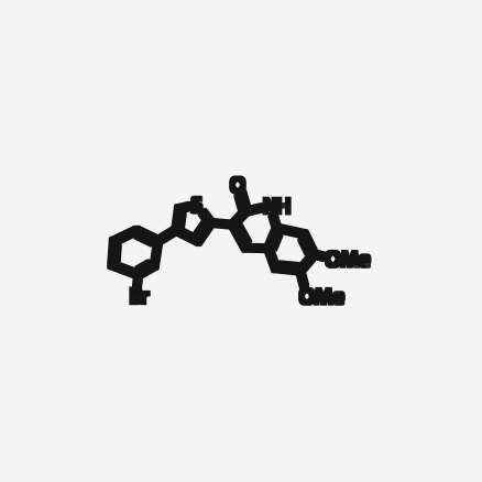 COc1cc2cc(-c3cc(-c4cccc(Br)c4)cs3)c(=O)[nH]c2cc1OC